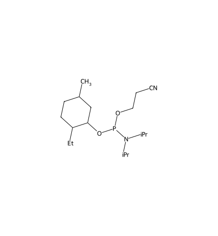 CCC1CCC(C)CC1OP(OCCC#N)N(C(C)C)C(C)C